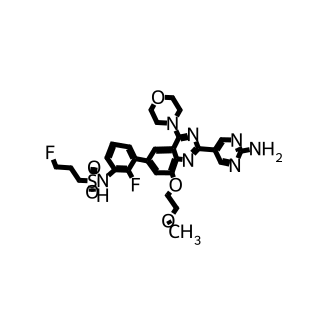 COCCOc1cc(-c2cccc(NS(=O)(=O)CCCF)c2F)cc2c(N3CCOCC3)nc(-c3cnc(N)nc3)nc12